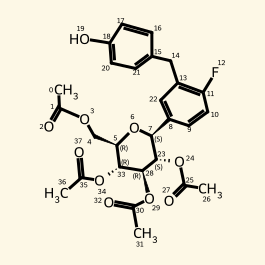 CC(=O)OC[C@H]1O[C@@H](c2ccc(F)c(Cc3ccc(O)cc3)c2)[C@H](OC(C)=O)[C@@H](OC(C)=O)[C@@H]1OC(C)=O